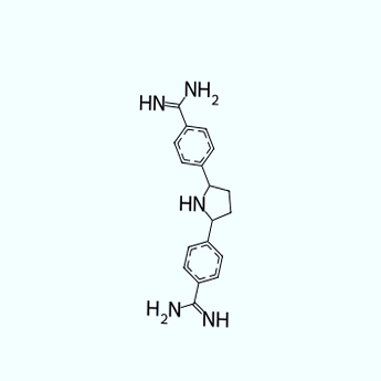 N=C(N)c1ccc(C2CCC(c3ccc(C(=N)N)cc3)N2)cc1